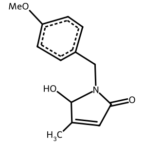 COc1ccc(CN2C(=O)C=C(C)C2O)cc1